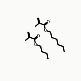 C=C(C)C(=O)OCCCC.C=C(C)C(=O)OCCCCCC